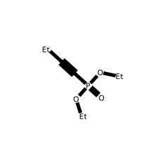 CCC#CP(=O)(OCC)OCC